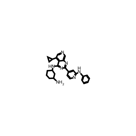 NC1CCCC(Nc2nc(-c3ccnc(Nc4ccccc4)c3)nc3cncc(C4CC4)c23)C1